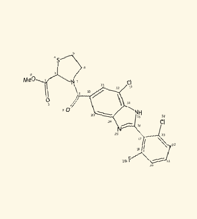 COC(=O)C1SCCN1C(=O)c1cc(Cl)c2[nH]c(-c3c(F)cccc3Cl)nc2c1